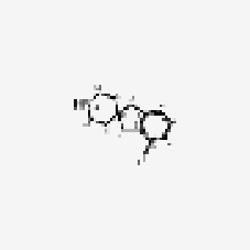 Fc1cccc2c1CC1(CCNCC1)C2